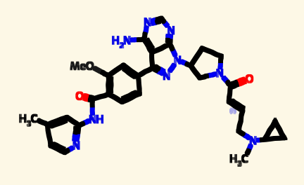 COc1cc(-c2nn(C3CCN(C(=O)/C=C/CN(C)C4CC4)C3)c3ncnc(N)c23)ccc1C(=O)Nc1cc(C)ccn1